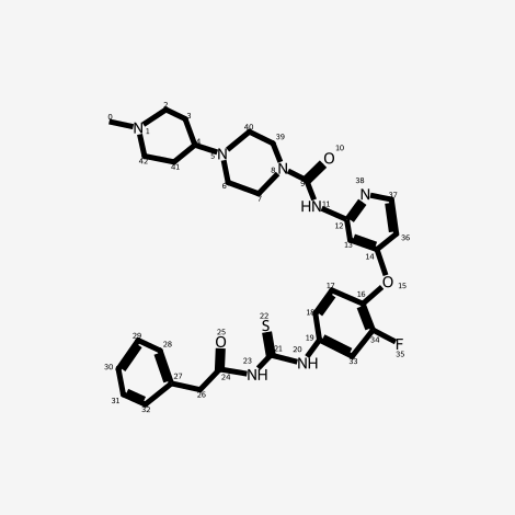 CN1CCC(N2CCN(C(=O)Nc3cc(Oc4ccc(NC(=S)NC(=O)Cc5ccccc5)cc4F)ccn3)CC2)CC1